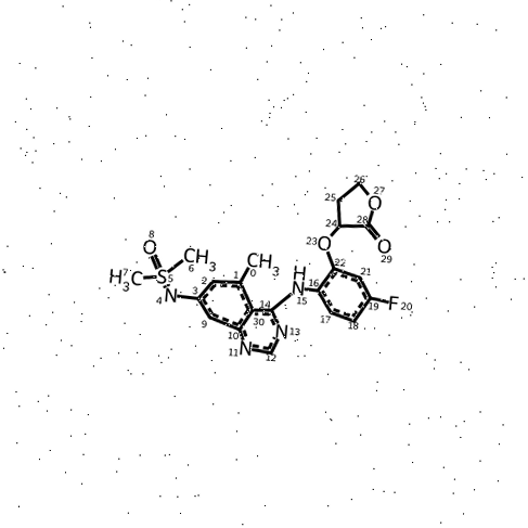 Cc1cc(N=S(C)(C)=O)cc2ncnc(Nc3ccc(F)cc3OC3CCOC3=O)c12